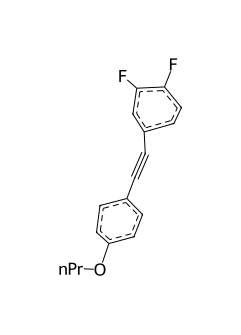 CCCOc1ccc(C#Cc2ccc(F)c(F)c2)cc1